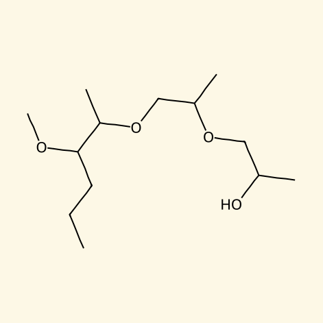 CCCC(OC)C(C)OCC(C)OCC(C)O